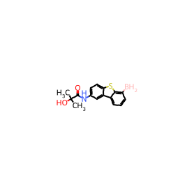 Bc1cccc2c1sc1ccc(NC(=O)C(C)(C)O)cc12